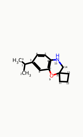 CC(C)c1ccc2c(c1)OC1(CCC1)CN2